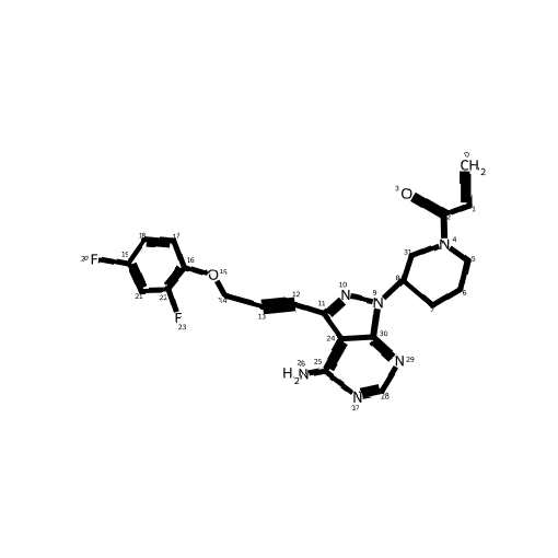 C=CC(=O)N1CCCC(n2nc(C#CCOc3ccc(F)cc3F)c3c(N)ncnc32)C1